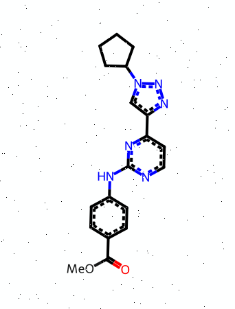 COC(=O)c1ccc(Nc2nccc(-c3cn(C4CCCC4)nn3)n2)cc1